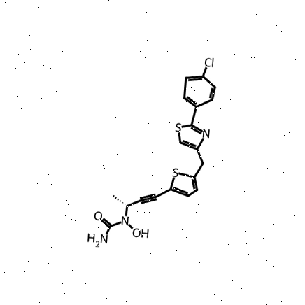 C[C@H](C#Cc1ccc(Cc2csc(-c3ccc(Cl)cc3)n2)s1)N(O)C(N)=O